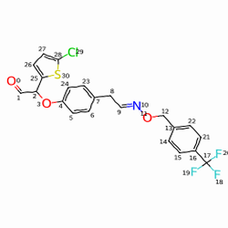 O=CC(Oc1ccc(CC=NOCc2ccc(C(F)(F)F)cc2)cc1)c1ccc(Cl)s1